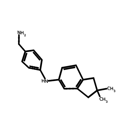 CC1(C)Cc2ccc(Nc3ccc(CN)cc3)cc2C1